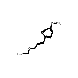 [CH2]COCC=Cc1ccc(OC)cc1